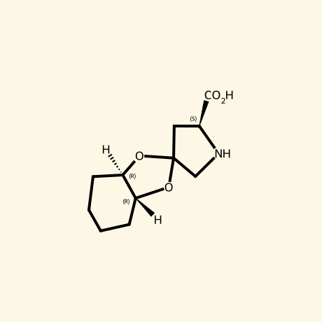 O=C(O)[C@@H]1CC2(CN1)O[C@@H]1CCCC[C@H]1O2